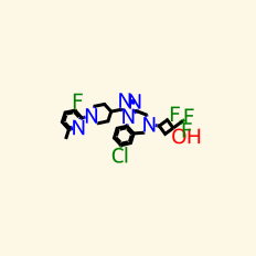 Cc1ccc(F)c(N2CCC(c3nnc4n3-c3ccc(Cl)cc3CN(C3CC(O)(C(F)(F)F)C3)C4)CC2)n1